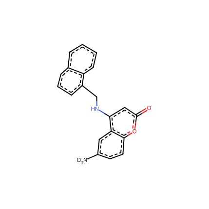 O=c1cc(NCc2cccc3ccccc23)c2cc([N+](=O)[O-])ccc2o1